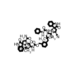 CC(C)(C)C[C@H](NC(=O)OCc1cccc(CC(C)(C)C[C@H](NC(=O)Nc2ccccc2)C(=O)N2C[C@]3(C[C@H]2C#N)C(=O)Nc2ccccc23)c1)C(=O)N1C[C@]2(C[C@H]1C(N)=O)C(=O)Nc1ccccc12